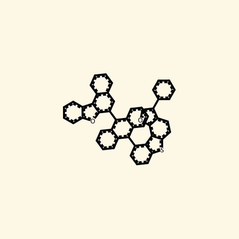 c1ccc(-c2coc3c2ccc2sc4cccc(-c5c6ccccc6c(-c6cc7ccccc7c7c6oc6ccccc67)c6ccccc56)c4c23)cc1